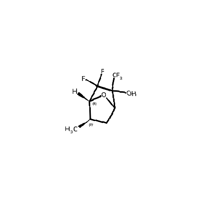 C[C@@H]1CC2O[C@H]1C(F)(F)C2(O)C(F)(F)F